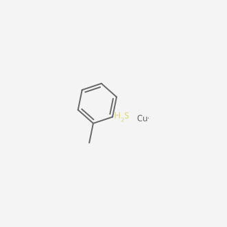 Cc1ccccc1.S.[Cu]